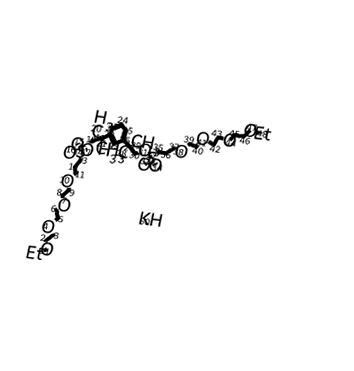 CCOCCOCCOCCOCCCS(=O)(=O)OCC(C)(C)c1cccc(C(C)(C)COS(=O)(=O)CCCOCCOCCOCCOCC)c1.[KH]